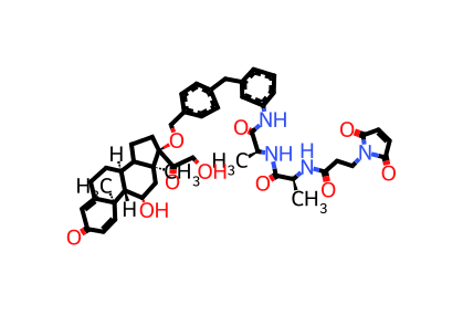 C[C@H](NC(=O)CCN1C(=O)C=CC1=O)C(=O)N[C@@H](C)C(=O)Nc1cccc(Cc2ccc(CO[C@]3(C(=O)CO)CCC4[C@@H]5CCC6=CC(=O)C=C[C@]6(C)[C@H]5[C@@H](O)C[C@@]43C)cc2)c1